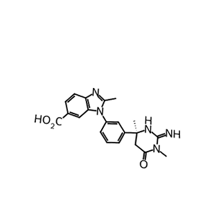 Cc1nc2ccc(C(=O)O)cc2n1-c1cccc([C@]2(C)CC(=O)N(C)C(=N)N2)c1